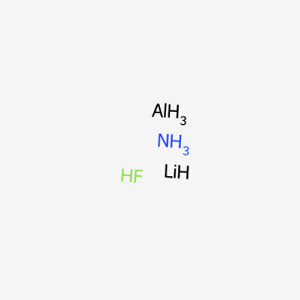 F.N.[AlH3].[LiH]